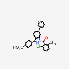 O=C(O)c1ccc(-c2nn(C(=O)c3c(Cl)cccc3C(F)(F)F)c3cc(-c4cccc(F)c4)ccc23)cc1